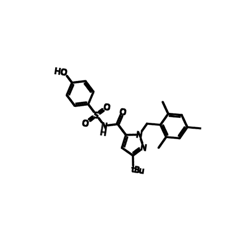 Cc1cc(C)c(Cn2nc(C(C)(C)C)cc2C(=O)NS(=O)(=O)c2ccc(O)cc2)c(C)c1